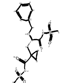 CS(=O)(=O)OC(=O)[C@H](CC1(C(=O)OS(C)(=O)=O)CC1)OCc1ccccc1